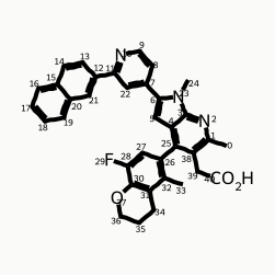 Cc1nc2c(cc(-c3ccnc(-c4ccc5ccccc5c4)c3)n2C)c(-c2cc(F)c3c(c2C)CCCO3)c1CC(=O)O